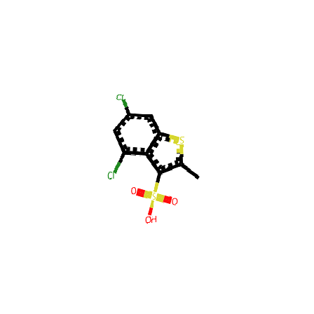 Cc1sc2cc(Cl)cc(Cl)c2c1S(=O)(=O)O